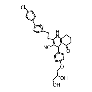 N#CC1=C(SCc2csc(-c3ccc(Cl)cc3)n2)NC2=C(C(=O)CCC2)C1c1ccc(OC[C@@H](O)CO)cc1